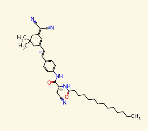 CCCCCCCCCCCCCC(=O)N[C@@H](CC#N)C(=O)Nc1ccc(/C=C/C2=CC(=C(C#N)C#N)CC(C)(C)C2)cc1